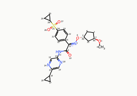 CO[C@@H]1CC[C@@H](O/N=C(/C(=O)Nc2cnc(C3CC3)cn2)c2ccc(S(=O)(=O)C3CC3)cc2)C1